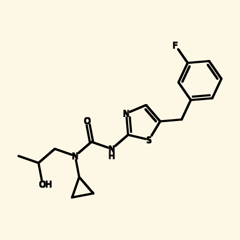 CC(O)CN(C(=O)Nc1ncc(Cc2cccc(F)c2)s1)C1CC1